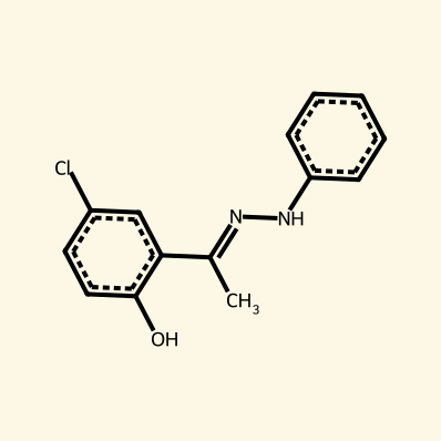 C/C(=N\Nc1ccccc1)c1cc(Cl)ccc1O